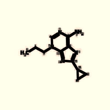 CCCn1cnc(N)c2nc(C3CC3)nc1-2